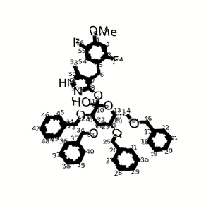 COc1cc(F)c(Cc2c(O[C@]3(O)O[C@H](COCc4ccccc4)[C@@H](OCc4ccccc4)[C@H](OCc4ccccc4)[C@H]3OCc3ccccc3)n[nH]c2C)cc1F